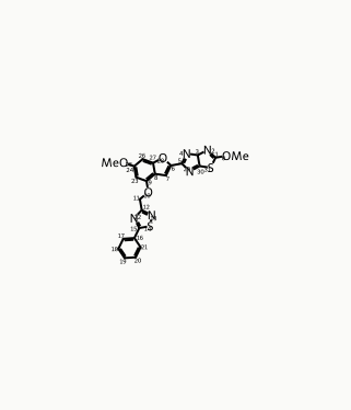 COC1=NC2N=C(c3cc4c(OCc5nsc(-c6ccccc6)n5)cc(OC)cc4o3)N=C2S1